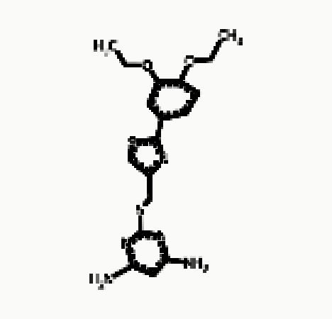 CCOc1ccc(-c2nc(CSc3nc(N)cc(N)n3)cs2)cc1OCC